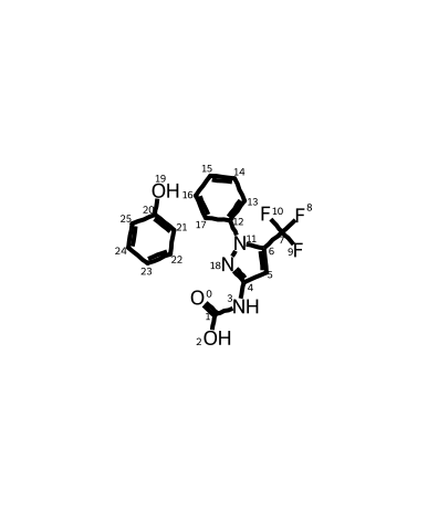 O=C(O)Nc1cc(C(F)(F)F)n(-c2ccccc2)n1.Oc1ccccc1